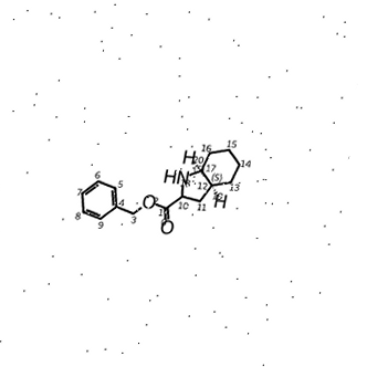 O=C(OCc1ccccc1)C1C[C@@H]2CCCC[C@@H]2N1